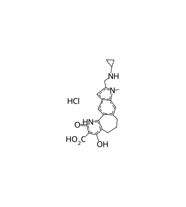 Cl.Cn1c(CNC2CC2)cc2cc3c(cc21)CCCc1c-3[nH]c(=O)c(C(=O)O)c1O